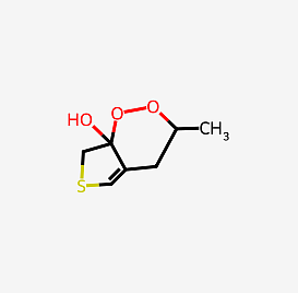 CC1CC2=CSCC2(O)OO1